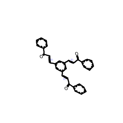 O=C(/C=C/c1cc(/C=C/C(=O)c2ccccc2)cc(/C=C/C(=O)c2ccccc2)c1)c1ccccc1